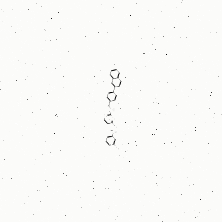 C[C@H](Nc1nccc(NS(=O)(=O)c2cccc([N+](=O)[O-])c2)n1)c1ccc(-c2ccc3ccccc3c2)cc1